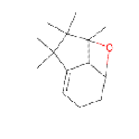 CC1(C)C2=CCCC3OC(C)(C23)C1(C)C